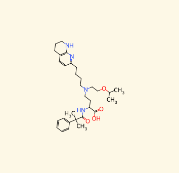 CC(C)OCCN(CCCCc1ccc2c(n1)NCCC2)CCC(NC(=O)C(C)(C)c1ccccc1)C(=O)O